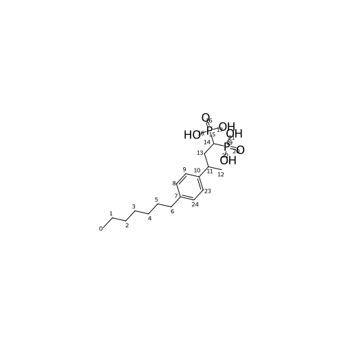 CCCCCCCc1ccc(C(C)CC(P(=O)(O)O)P(=O)(O)O)cc1